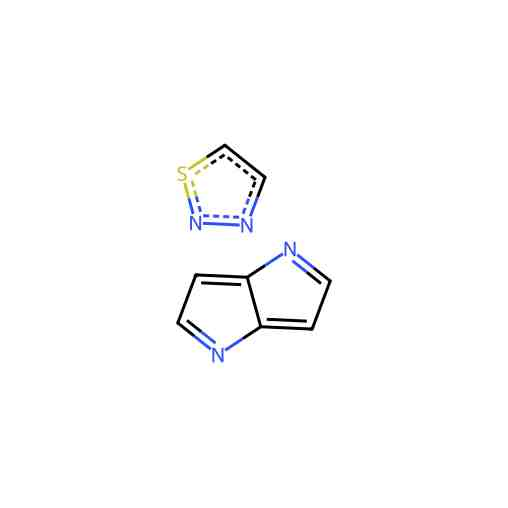 C1=NC2=CC=NC2=C1.c1csnn1